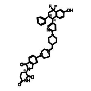 O=C1CC[C@H](N2Cc3cc(N4CCN(CC5CCN(c6ccc([C@@H]7c8ccc(O)cc8C(F)(F)C[C@@H]7c7ccccc7)cn6)CC5)CC4)ccc3C2=O)C(=O)N1